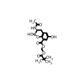 CC(=O)N[C@H]1Cc2cc(O)cc(C(=O)OCOC(=O)C(C)(C)C)c2OB1O